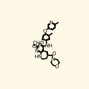 Cc1ccc(Oc2ccc(Nc3ncnc4c3C=C(C(=O)N3CCOCC3)CCN4)cc2C)cn1.O=CO